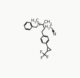 CC#N.CC(CCc1ccc(C2CC2C(F)(F)F)cc1)N(C)Cc1ccccc1